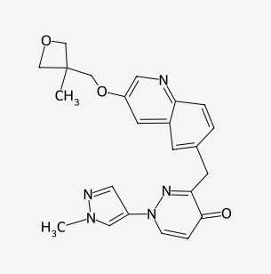 Cn1cc(-n2ccc(=O)c(Cc3ccc4ncc(OCC5(C)COC5)cc4c3)n2)cn1